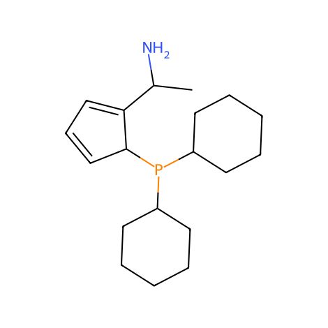 CC(N)C1=CC=CC1P(C1CCCCC1)C1CCCCC1